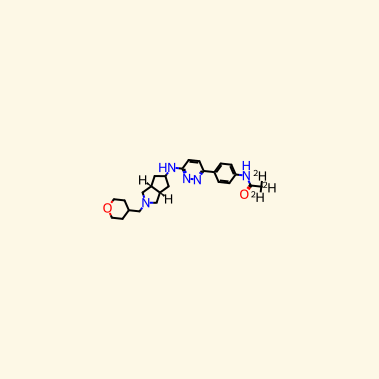 [2H]C([2H])([2H])C(=O)Nc1ccc(-c2ccc(NC3C[C@@H]4CN(CC5CCOCC5)C[C@@H]4C3)nn2)cc1